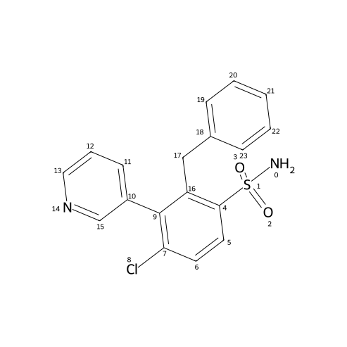 NS(=O)(=O)c1ccc(Cl)c(-c2cccnc2)c1Cc1ccccc1